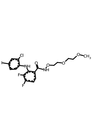 COCCOCCONC(=O)c1ccc(F)c(F)c1Nc1ccc(I)cc1Cl